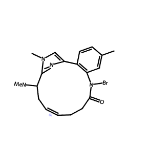 CNC1C/C=C\CCC(=O)N(Br)c2cc(C)ccc2-c2cn(C)c1n2